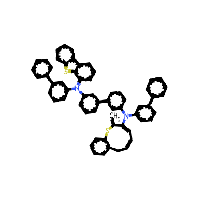 C=C1Sc2ccccc2C/C=C\C=C/1N(c1cccc(-c2ccccc2)c1)c1cccc(-c2cccc(N(c3cccc(-c4ccccc4)c3)c3cccc4c3sc3ccccc34)c2)c1